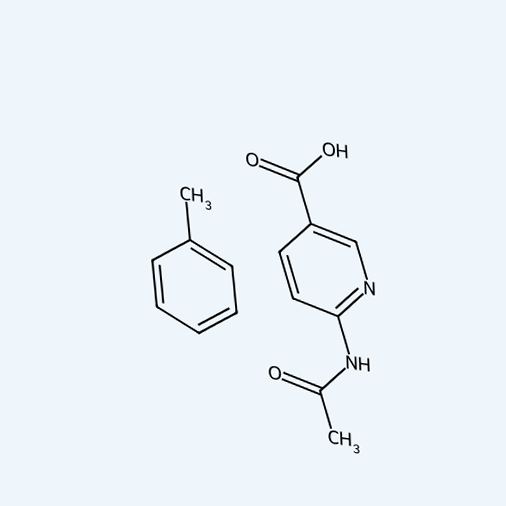 CC(=O)Nc1ccc(C(=O)O)cn1.Cc1ccccc1